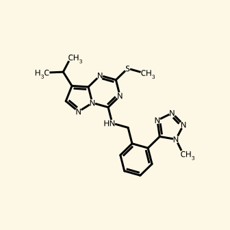 CSc1nc(NCc2ccccc2-c2nnnn2C)n2ncc(C(C)C)c2n1